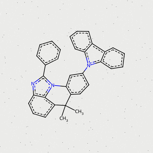 CC1(C)c2ccc(-n3c4ccccc4c4ccccc43)cc2-n2c(-c3ccccc3)nc3cccc1c32